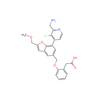 COCc1cc2cc(COc3ccccc3CC(=O)O)cc(-c3ccnc(CN)c3F)c2o1